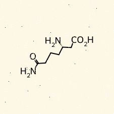 NC(=O)CCC[C@H](N)CC(=O)O